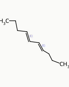 CCC/C=C/C=C/CCC